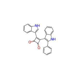 O=c1c(-c2c[nH]c3ccccc23)c(-c2c(-c3ccccc3)[nH]c3ccccc23)c1=O